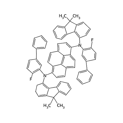 CC1(C)C2=CCCC(N(c3cc(-c4ccccc4)ccc3F)c3ccc4ccc5c(N(c6cc(-c7ccccc7)ccc6F)c6cccc7c6-c6ccccc6C7(C)C)ccc6ccc3c4c65)=C2c2ccccc21